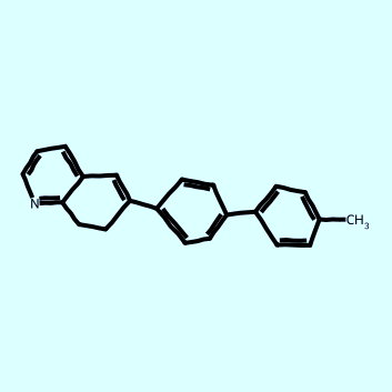 Cc1ccc(-c2ccc(C3=Cc4cccnc4CC3)cc2)cc1